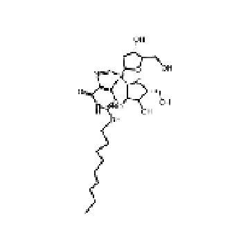 CCCCCCCCCNc1nc2c(c(=O)[nH]1)N=C[N+]2(C1C[C@H](O)[C@@H](CO)O1)[C@@H]1O[C@H](CO)[C@@H](O)[C@H]1O